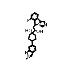 Cn1cc2ccc(C3CCC(O)(C(O)CC4c5c(F)cccc5-c5cncn54)CC3)cc2n1